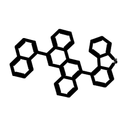 c1ccc2c(-c3cc4c5ccccc5c(-c5cccc6sc7ccccc7c56)cc4c4ccccc34)cccc2c1